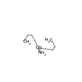 CCCCC/C=C\C/C=C\CCCCCCCCOC(CCN)OCCCCCCCC/C=C\C/C=C\CCCCC